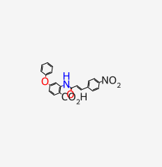 O=C(C=Cc1ccc([N+](=O)[O-])cc1)Nc1cc(Oc2ccccc2)ccc1C(=O)O